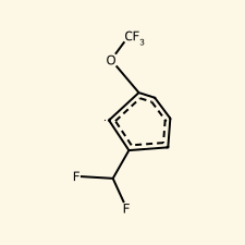 FC(F)c1[c]c(OC(F)(F)F)ccc1